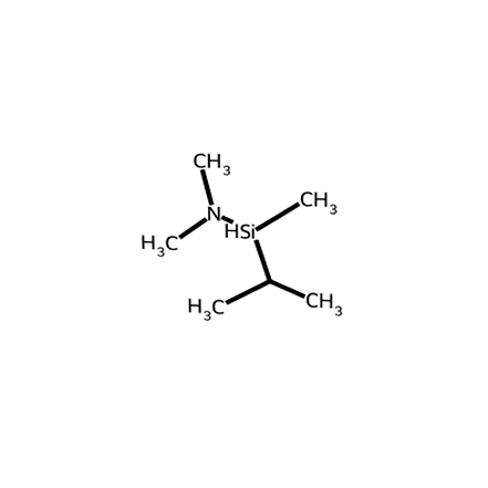 CC(C)[SiH](C)N(C)C